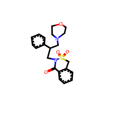 O=C1c2ccccc2CS(=O)(=O)N1CC(CN1CCOCC1)c1ccccc1